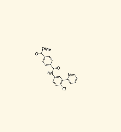 COC(=O)c1ccc(C(=O)Nc2ccc(Cl)c(-c3ccccn3)c2)cc1